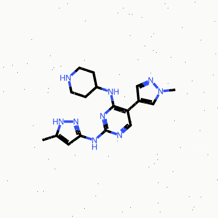 Cc1cc(Nc2ncc(-c3cnn(C)c3)c(NC3CCNCC3)n2)n[nH]1